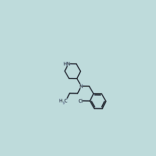 CCCN(Cc1ccccc1Cl)C1CCNCC1